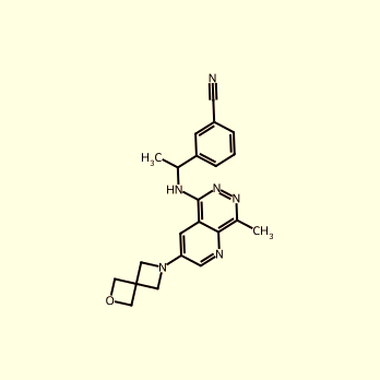 Cc1nnc(NC(C)c2cccc(C#N)c2)c2cc(N3CC4(COC4)C3)cnc12